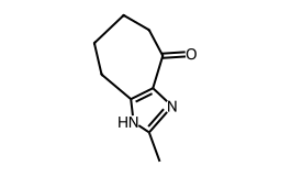 Cc1nc2c([nH]1)CCCCC2=O